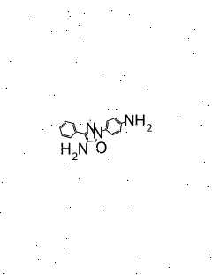 Cn1c(-c2ccccc2)c(N)c(=O)n1-c1ccc(N)cc1